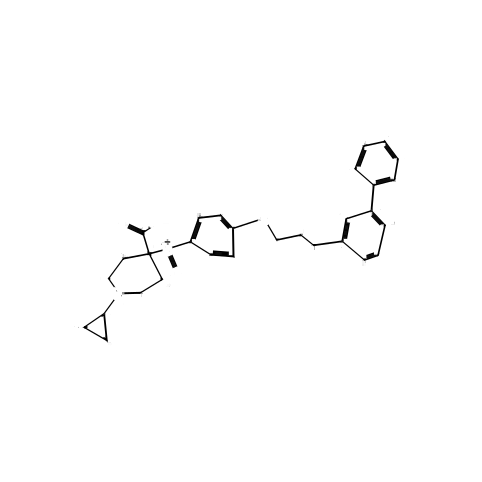 O=C(O)C1(S(=O)(=O)c2ccc(OCCCc3cccc(-c4ccccc4)c3)cc2)CCN(C2CC2)CC1